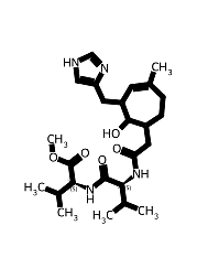 COC(=O)[C@@H](NC(=O)[C@@H](NC(=O)CC1CCC(C)=CC(Cc2c[nH]cn2)C1O)C(C)C)C(C)C